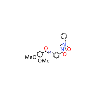 COc1ccc(C(=O)/C=C/c2cccc(C(=O)N3CCN(Cc4ccccc4)C34COC4)c2)cc1OC